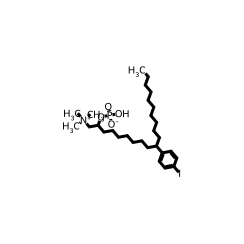 CCCCCCCCCCC(CCCCCCCC(C[N+](C)(C)C)OP(=O)([O-])O)c1ccc(I)cc1